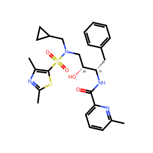 Cc1cccc(C(=O)N[C@@H](Cc2ccccc2)[C@H](O)CN(CC2CC2)S(=O)(=O)c2sc(C)nc2C)n1